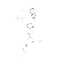 COC(=O)N[C@@H](CC/C=C/C(=O)N(C)C)C(=O)Nc1cccn(Cc2cc3nccc(CC(C)C)c3n2COCC[Si](C)(C)C)c1=O